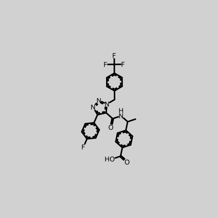 CC(NC(=O)c1c(-c2ccc(F)cc2)nnn1Cc1ccc(C(F)(F)F)cc1)c1ccc(C(=O)O)cc1